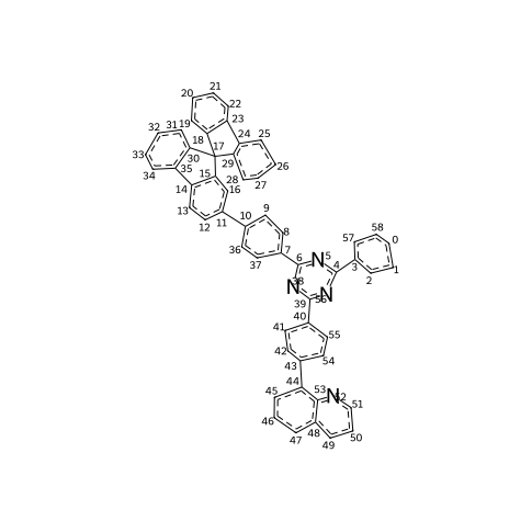 c1ccc(-c2nc(-c3ccc(-c4ccc5c(c4)C4(c6ccccc6-c6ccccc64)c4ccccc4-5)cc3)nc(-c3ccc(-c4cccc5cccnc45)cc3)n2)cc1